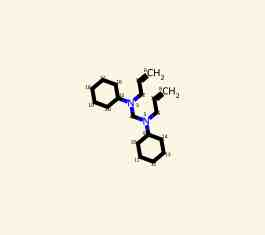 C=CCN(CN(CC=C)C1CCCCC1)C1CCCCC1